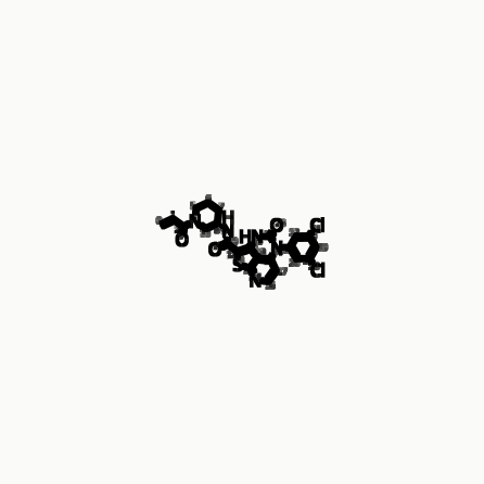 C=CC(=O)N1CCC[C@@H](NC(=O)c2sc3nccc4c3c2NC(=O)N4c2cc(Cl)cc(Cl)c2)C1